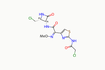 CON=C(C(=O)N[C@H]1C(=O)N[C@H]1CCl)c1csc(NC(=O)CCl)n1